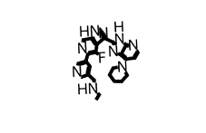 CCNCc1cncc(-c2ncc3[nH]nc(-c4nc5c(N6CCCCC6)ccnc5[nH]4)c3c2F)c1